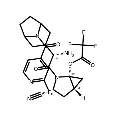 N#C[C@H]1C[C@H]2C[C@]2(OC(=O)C(F)(F)F)N1C(=O)[C@@H](N)C1CC2CCC(C1)N2C(=O)c1ccnc(F)c1